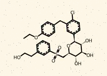 CCOc1ccc(Cc2cc([C@@H]3O[C@H](CS(=O)(=O)c4cccc(CCO)c4)[C@@H](O)[C@H](O)[C@H]3O)ccc2Cl)cc1